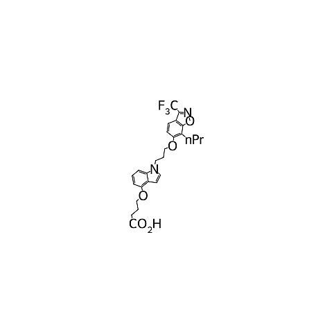 CCCc1c(OCCCn2ccc3c(OCCCC(=O)O)cccc32)ccc2c(C(F)(F)F)noc12